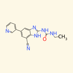 CCNC(=O)Nc1nc2cc(-c3cccnc3)cc(C#N)c2[nH]1